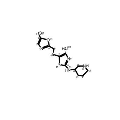 CC(C)(C)c1cnc(CSc2cnc(NC3CCCNC3)s2)o1.Cl